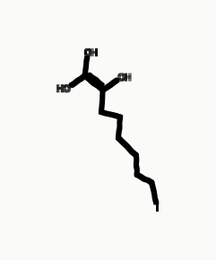 OC(O)=C(O)CCCCCCI